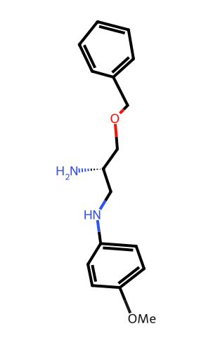 COc1ccc(NC[C@H](N)COCc2ccccc2)cc1